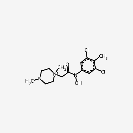 Cc1c(Cl)cc(N(O)C(=O)C[N+]2(C)CCN(C)CC2)cc1Cl